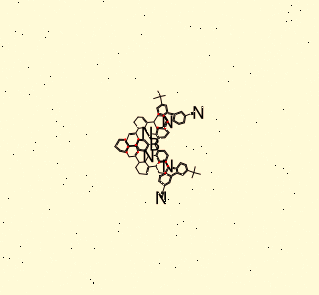 CC(C)(C)c1ccc2c(c1)c1cc(C#N)ccc1n2-c1ccc2c(c1)N(C1C(C3CC=CCC3)=CCCC1C1=CCCCC1)c1cc(-c3ccccc3)cc3c1B2c1ccc(-n2c4ccc(C#N)cc4c4cc(C(C)(C)C)ccc42)cc1N3C1C(C2CC=CCC2)=CCCC1C1=CCCCC1